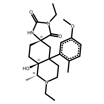 CCN1C(=O)N[C@]2(CC[C@@]3(O)[C@@H](C)N(CC)CCC3(c3cc(OC)ccc3C)C2)C1=O